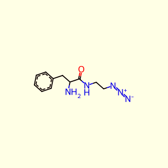 [N-]=[N+]=NCCNC(=O)C(N)Cc1ccccc1